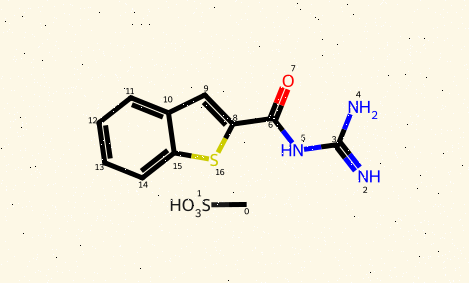 CS(=O)(=O)O.N=C(N)NC(=O)c1cc2ccccc2s1